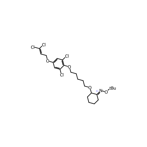 CC(C)(C)O/N=C1\CCCCC1OCCCCCOc1c(Cl)cc(OCC=C(Cl)Cl)cc1Cl